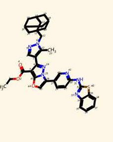 CCOC(=O)c1c(-c2cnn(CC34CC5CC(CC(C5)C3)C4)c2C)nn2c(-c3ccc(Nc4nc5ccccc5s4)nc3)coc12